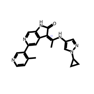 C/C(Nc1cnn(C2CC2)c1)=C1/C(=O)Nc2cnc(-c3cnccc3C)cc21